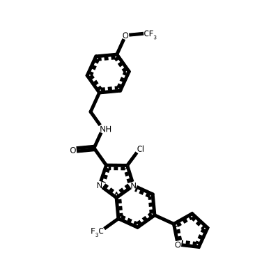 O=C(NCc1ccc(OC(F)(F)F)cc1)c1nc2c(C(F)(F)F)cc(-c3ccco3)cn2c1Cl